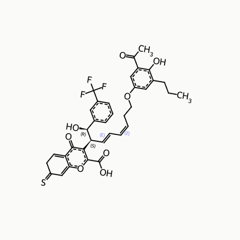 CCCc1cc(OCC/C=C\C=C\[C@@H](c2c(C(=O)O)oc3c(c2=O)=CCC(=S)C=3)[C@@H](O)c2cccc(C(F)(F)F)c2)cc(C(C)=O)c1O